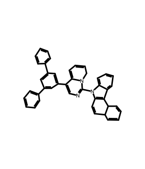 C1=CCN2C(=C1)C(c1cc(-c3ccccc3)cc(-c3ccccc3)c1)=CN=C2n1c2c(c3ccccc31)C1C=CC=CC1C=C2